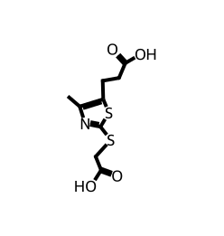 Cc1nc(SCC(=O)O)sc1CCC(=O)O